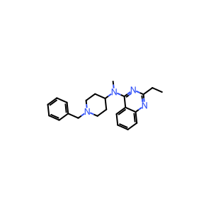 CCc1nc(N(C)C2CCN(Cc3ccccc3)CC2)c2ccccc2n1